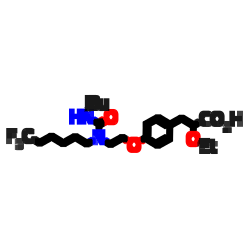 CCOC(Cc1ccc(OCCN(CCCCCC(F)(F)F)C(=O)NC(C)CC)cc1)C(=O)O